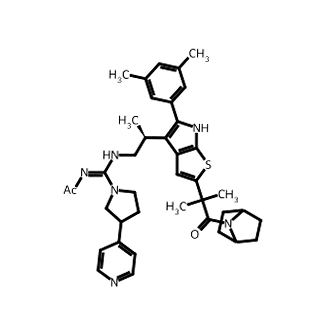 CC(=O)/N=C(/NC[C@@H](C)c1c(-c2cc(C)cc(C)c2)[nH]c2sc(C(C)(C)C(=O)N3C4CCC3CC4)cc12)N1CCC(c2ccncc2)C1